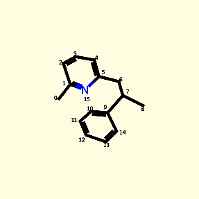 Cc1cccc(CC(C)c2ccccc2)n1